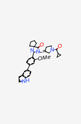 COc1cc(-c2ccc3[nH]ccc3c2)ccc1C1=NC2(CCCC2)C(=O)N1C[C@@H]1CCN(C(=O)C2CC2)C1